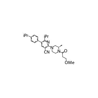 COCCC(=O)N1CCN(c2nc(C(C)C)c(-c3ccc(C(C)C)cc3)cc2C#N)C[C@H]1C